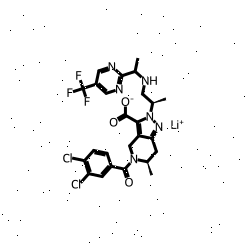 CC(NC[C@@H](C)n1nc2c(c1C(=O)[O-])CN(C(=O)c1ccc(Cl)c(Cl)c1)[C@H](C)C2)c1ncc(C(F)(F)F)cn1.[Li+]